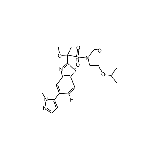 COC(C)(c1nc2cc(-c3ccnn3C)c(F)cc2s1)S(=O)(=O)N([C]=O)CCOC(C)C